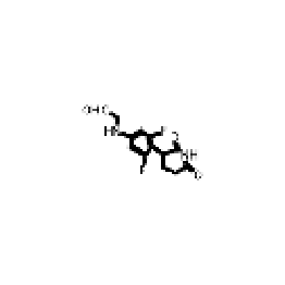 O=CCNc1cc(F)c(C2CCC(=O)NC2=O)c(F)c1